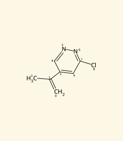 C=C(C)c1cnnc(Cl)c1